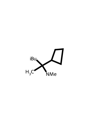 CCC(C)C(C)(NC)C1CCC1